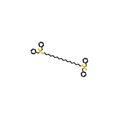 S=P(Cc1ccccc1)(Cc1ccccc1)SCCCCCCCCCCCCCCCCCCSP(=S)(Cc1ccccc1)Cc1ccccc1